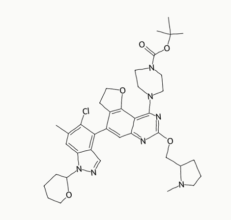 Cc1cc2c(cnn2C2CCCCO2)c(-c2cc3nc(OCC4CCCN4C)nc(N4CCN(C(=O)OC(C)(C)C)CC4)c3c3c2CCO3)c1Cl